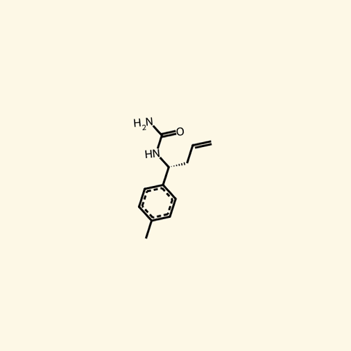 C=CC[C@@H](NC(N)=O)c1ccc(C)cc1